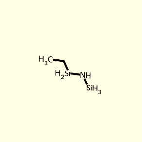 CC[SiH2]N[SiH3]